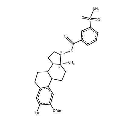 COc1cc2c(cc1O)CCC1C2CC[C@@]2(C)C1CC[C@@H]2OC(=O)c1cccc(S(N)(=O)=O)c1